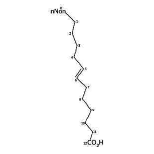 CCCCCCCCCCCCCC=CCCCCCC(=O)O